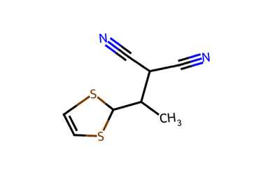 CC(C(C#N)C#N)C1SC=CS1